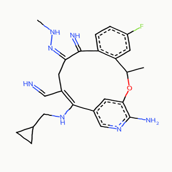 CN/N=C1/C/C(C=N)=C(/NCC2CC2)c2cnc(N)c(c2)OC(C)c2cc(F)ccc2C1=N